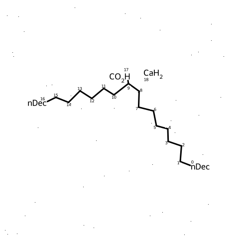 CCCCCCCCCCCCCCCCCCC(CCCCCCCCCCCCCCCC)C(=O)O.[CaH2]